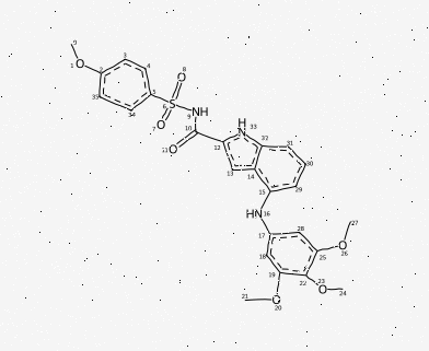 COc1ccc(S(=O)(=O)NC(=O)c2cc3c(Nc4cc(OC)c(OC)c(OC)c4)cccc3[nH]2)cc1